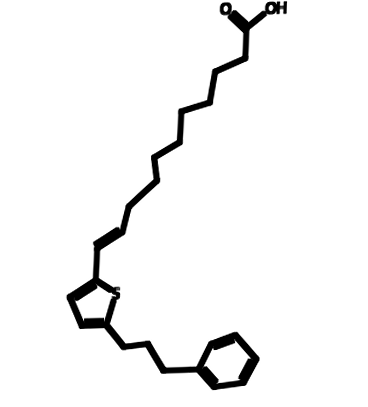 O=C(O)CCCCCCCCC=Cc1ccc(CCCc2ccccc2)s1